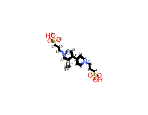 O=S(=O)(O)CCC[n+]1ccc(-c2cc[n+](CCCS(=O)(=O)O)cc2)cc1.[H+].[H+]